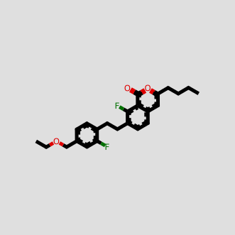 CCCCc1cc2ccc(CCc3ccc(COCC)cc3F)c(F)c2c(=O)o1